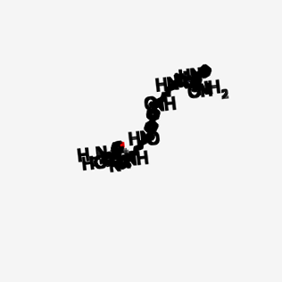 C=C1C=C(NCCCCCCNC(=O)c2ccc(-c3ccc(C(=O)NCCCCCCNc4cc5c(cc4C)nc4cc(O)c(N)cc4[n+]5-c4ccccc4)cc3)cc2)C(C)=C/C1=N/c1cc(O)c(N)cc1Nc1ccccc1